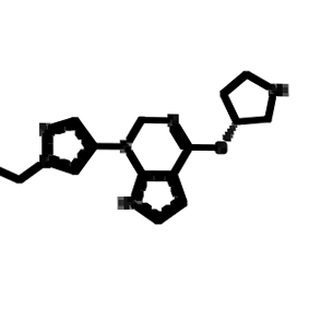 CCn1cc(N2CN=C(O[C@@H]3CCNC3)c3cc[nH]c32)cn1